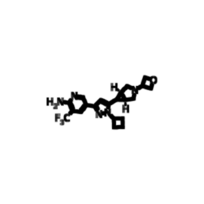 Nc1ncc(-c2cc(C3[C@H]4CN(C5COC5)C[C@@H]34)n(C3CCC3)n2)cc1C(F)(F)F